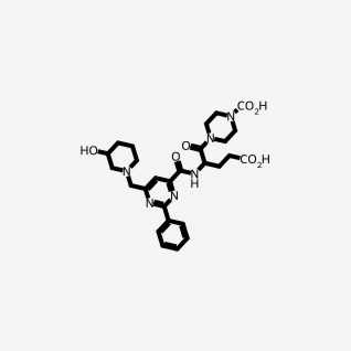 O=C(O)CCC(NC(=O)c1cc(CN2CCCC(O)C2)nc(-c2ccccc2)n1)C(=O)N1CCN(C(=O)O)CC1